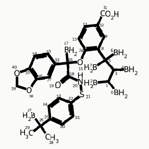 BC(B)C(B)C(B)(B)c1cc(C(=O)O)ccc1OC(B)(C(=O)NSc1ccc(C(B)(C)C)cc1)c1ccc2c(c1)OCO2